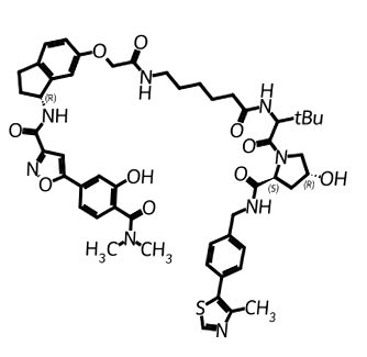 Cc1ncsc1-c1ccc(CNC(=O)[C@@H]2C[C@@H](O)CN2C(=O)C(NC(=O)CCCCCNC(=O)COc2ccc3c(c2)[C@H](NC(=O)c2cc(-c4ccc(C(=O)N(C)C)c(O)c4)on2)CC3)C(C)(C)C)cc1